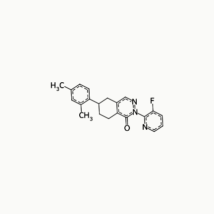 Cc1ccc(C2CCc3c(cnn(-c4ncccc4F)c3=O)C2)c(C)c1